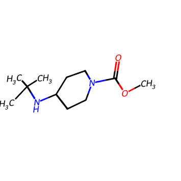 COC(=O)N1CCC(NC(C)(C)C)CC1